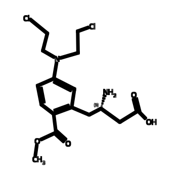 COC(=O)c1ccc(N(CCCl)CCCl)cc1C[C@H](N)CC(=O)O